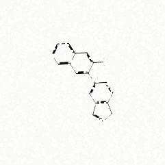 Brc1cc2ccccc2cc1-c1ccc2c(c1)C=CC2